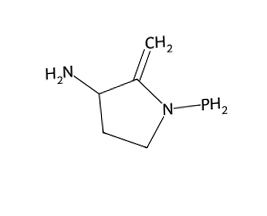 C=C1C(N)CCN1P